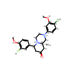 COc1ccc(C2CC(=O)C[C@@H]3CN(c4ccc(Cl)c(OC)c4)CCN23)cc1F